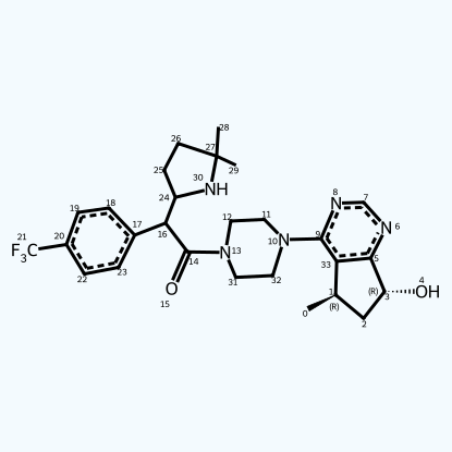 C[C@@H]1C[C@@H](O)c2ncnc(N3CCN(C(=O)C(c4ccc(C(F)(F)F)cc4)C4CCC(C)(C)N4)CC3)c21